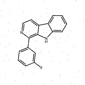 Fc1cccc(-c2nccc3c2[nH]c2ccccc23)c1